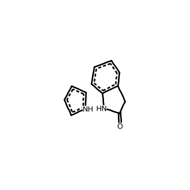 O=C1Cc2ccccc2N1.c1cc[nH]c1